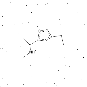 CCc1coc(C(C)NC)c1